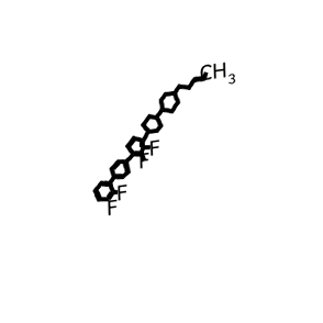 C/C=C/CCC1CCC(C2CCC(c3ccc(-c4ccc(-c5cccc(F)c5F)cc4)c(F)c3F)CC2)CC1